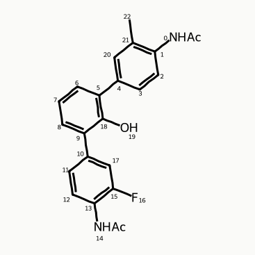 CC(=O)Nc1ccc(-c2cccc(-c3ccc(NC(C)=O)c(F)c3)c2O)cc1C